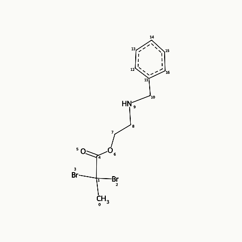 CC(Br)(Br)C(=O)OCCNCc1ccccc1